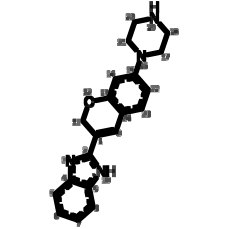 C1=C(c2nc3ccccc3[nH]2)COc2cc(N3CCNCC3)ccc21